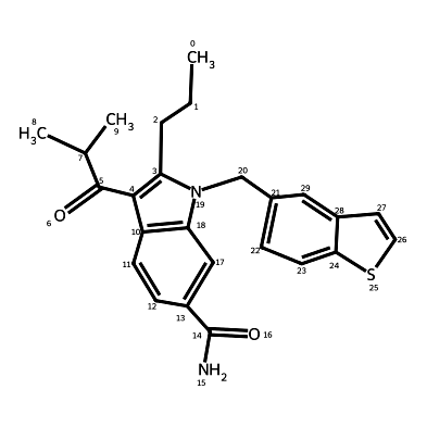 CCCc1c(C(=O)C(C)C)c2ccc(C(N)=O)cc2n1Cc1ccc2sccc2c1